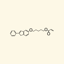 C=CC(=O)OCCCCCOc1ccc2c(c1)C=C(c1ccccc1)C2